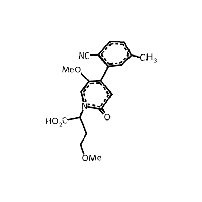 COCCC(C(=O)O)n1cc(OC)c(-c2cc(C)ccc2C#N)cc1=O